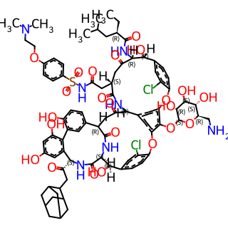 CC[C@H](CC(C)C)C(=O)N[C@H]1C(=O)C[C@@H](CC(=O)NS(=O)(=O)c2ccc(OCCN(C)C)cc2)C(=O)N[C@H]2C(=O)C[C@H]3C(=O)N[C@H](C(=O)N[C@H](C(=O)CC4C5CC6CC(C5)CC4C6)c4cc(O)cc(O)c4-c4cc3ccc4O)[C@H](O)c3ccc(c(Cl)c3)Oc3cc2cc(c3O[C@@H]2O[C@H](CN)[C@@H](O)[C@H](O)[C@H]2O)Oc2ccc(cc2Cl)[C@H]1O